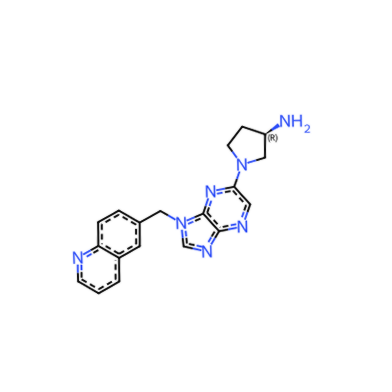 N[C@@H]1CCN(c2cnc3ncn(Cc4ccc5ncccc5c4)c3n2)C1